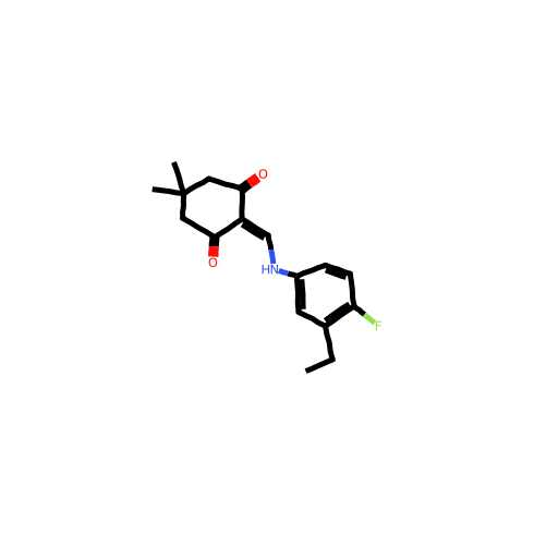 CCc1cc(NC=C2C(=O)CC(C)(C)CC2=O)ccc1F